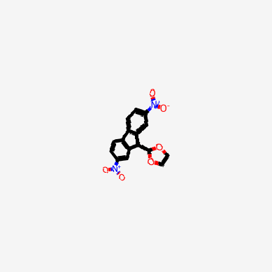 O=[N+]([O-])c1ccc2c(c1)C(C1OCCO1)c1cc([N+](=O)[O-])ccc1-2